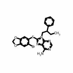 CCC(Cn1c(Sc2cc3c(cc2Br)OCO3)nc2c(N)ncnc21)c1ccccc1